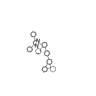 C1=CCCC(c2c(-c3ccc(-c4ccc5c(c4)-c4ccccc4C54CCCCC4)cc3)cccc2-c2nc(-c3ccccc3)cc(-c3ccccc3)n2)=C1